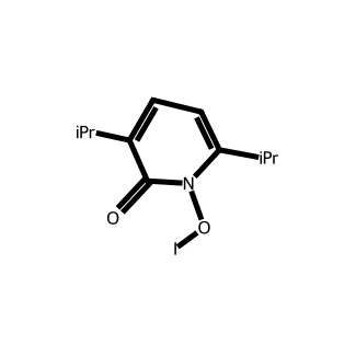 CC(C)c1ccc(C(C)C)n(OI)c1=O